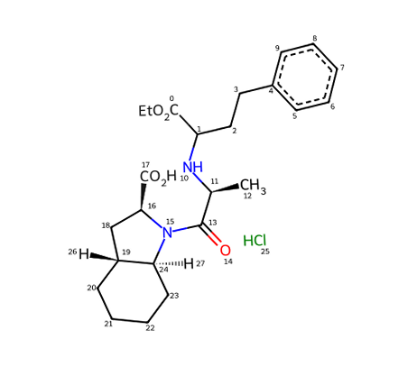 CCOC(=O)C(CCc1ccccc1)N[C@@H](C)C(=O)N1[C@H](C(=O)O)C[C@H]2CCCC[C@@H]21.Cl